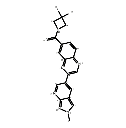 Cn1cc2cc(-c3cnc4ccc(C(=O)N5CC(F)(F)C5)cc4n3)cnc2n1